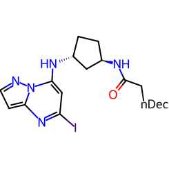 CCCCCCCCCCCC(=O)N[C@@H]1CC[C@@H](Nc2cc(I)nc3ccnn23)C1